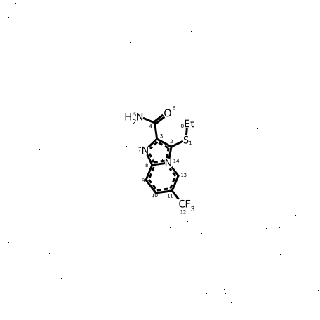 CCSc1c(C(N)=O)nc2ccc(C(F)(F)F)cn12